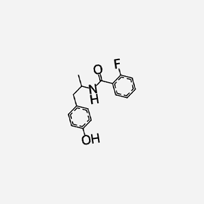 CC(Cc1ccc(O)cc1)NC(=O)c1ccccc1F